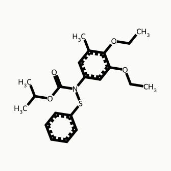 CCOc1cc(N(Sc2ccccc2)C(=O)OC(C)C)cc(C)c1OCC